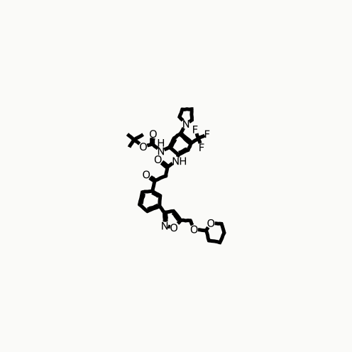 CC(C)(C)OC(=O)Nc1cc(N2CCCC2)c(C(F)(F)F)cc1NC(=O)CC(=O)c1cccc(-c2cc(COC3CCCCO3)on2)c1